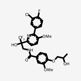 COc1cc(C(=O)NCC(O)(c2ccc(OC)c(-c3ccc(F)c(Cl)c3)n2)C(F)(F)F)ccc1OCC(C)O